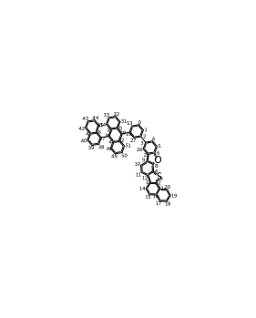 c1cc(-c2ccc3oc4c(ccc5c6ccc7ccccc7c6sc54)c3c2)cc(-c2c3ccccc3c(-c3cccc4ccccc34)c3ccccc23)c1